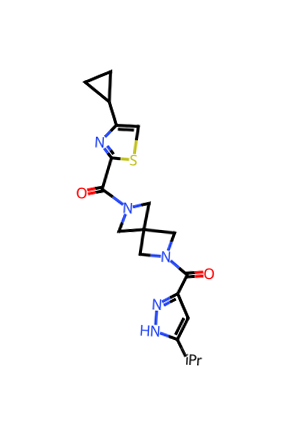 CC(C)c1cc(C(=O)N2CC3(C2)CN(C(=O)c2nc(C4CC4)cs2)C3)n[nH]1